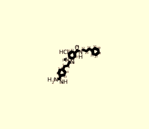 Cl.Cn1c(CCc2ccc(C(=N)N)cc2)nc2cc(C(=O)NCCCc3ccccc3)ccc21